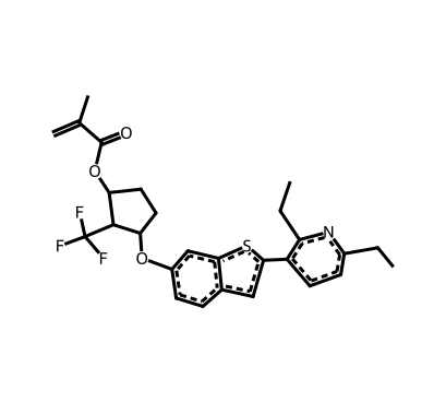 C=C(C)C(=O)OC1CCC(Oc2ccc3cc(-c4ccc(CC)nc4CC)sc3c2)C1C(F)(F)F